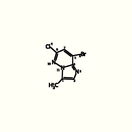 Cc1cnc2c(Br)cc(Cl)nn12